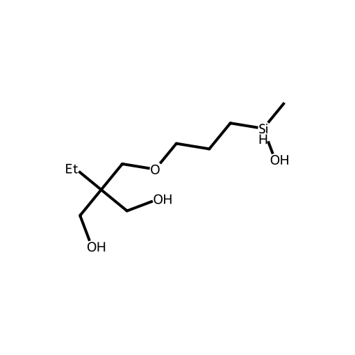 CCC(CO)(CO)COCCC[SiH](C)O